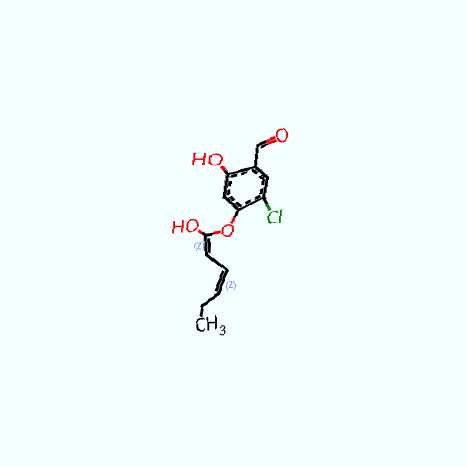 CC/C=C\C=C(\O)Oc1cc(O)c(C=O)cc1Cl